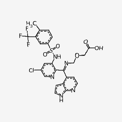 Cc1ccc(S(=O)(=O)Nc2cc(Cl)cnc2/C(=N/COCC(=O)O)c2ccnc3[nH]ccc23)cc1C(F)(F)F